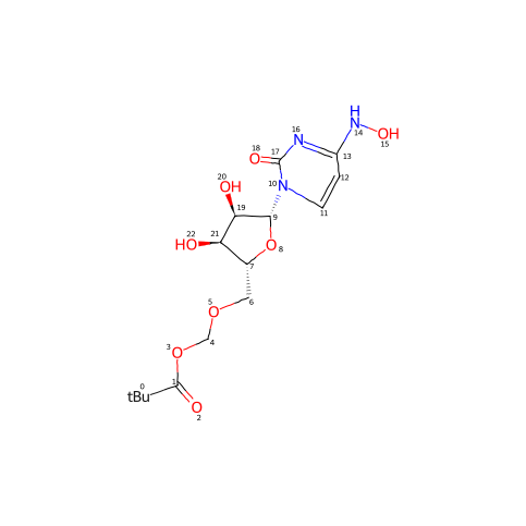 CC(C)(C)C(=O)OCOC[C@H]1O[C@@H](n2ccc(NO)nc2=O)[C@H](O)[C@@H]1O